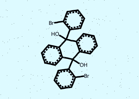 OC1(c2ccccc2Br)c2ccccc2C(O)(c2ccccc2Br)c2ccccc21